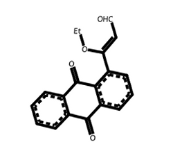 CCOC(=CC=O)c1cccc2c1C(=O)c1ccccc1C2=O